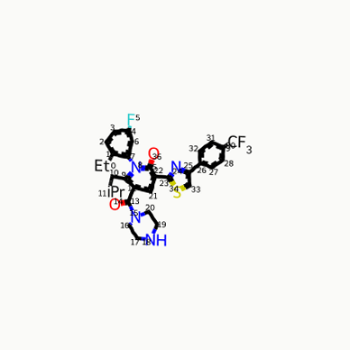 CCc1ccc(F)cc1-n1c(CC(C)C)c(C(=O)N2CCNCC2)cc(-c2nc(-c3ccc(C(F)(F)F)cc3)cs2)c1=O